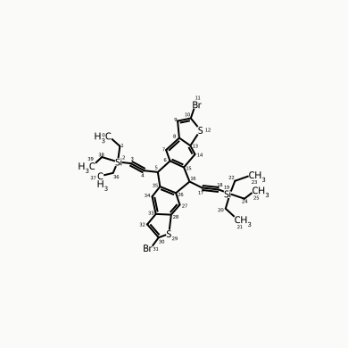 CC[Si](C#CC1c2cc3cc(Br)sc3cc2C(C#C[Si](CC)(CC)CC)c2cc3sc(Br)cc3cc21)(CC)CC